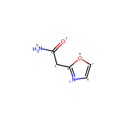 NC(=O)Cc1ncco1